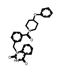 O=C(c1cccc(Cn2c(=O)[nH]c(=O)c3ccccc32)c1)N1CCC(Oc2ccccc2)CC1